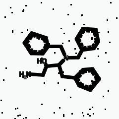 NCC(O)C(Cc1ccccc1)N(Cc1ccccc1)Cc1ccccc1